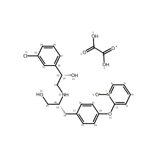 O=C(O)C(=O)O.[O-][n+]1ccccc1Oc1ccc(C[C@H](CO)NC[C@@H](O)c2cccc(Cl)c2)cc1